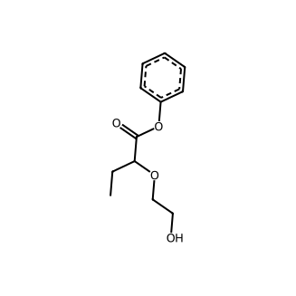 CCC(OCCO)C(=O)Oc1ccccc1